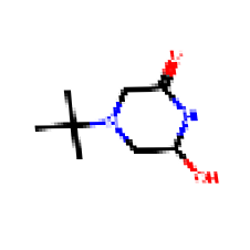 CC(C)(C)N1CC(=O)NC(O)C1